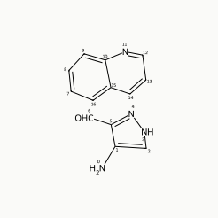 Nc1c[nH]nc1C=O.c1ccc2ncccc2c1